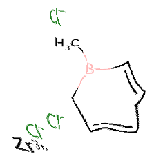 CB1C=CC=CC1.[Cl-].[Cl-].[Cl-].[Zr+3]